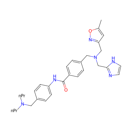 CCCN(CCC)Cc1ccc(NC(=O)c2ccc(CN(Cc3cc(C)on3)Cc3ncc[nH]3)cc2)cc1